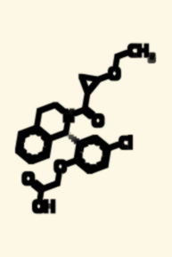 CCOC1CC1C(=O)N1CCc2ccccc2[C@H]1c1cc(Cl)ccc1OCC(=O)O